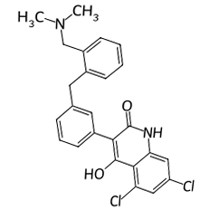 CN(C)Cc1ccccc1Cc1cccc(-c2c(O)c3c(Cl)cc(Cl)cc3[nH]c2=O)c1